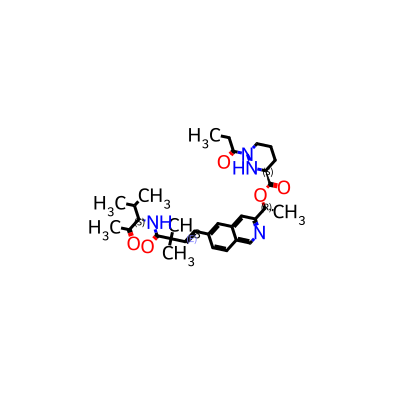 CCC(=O)N1CCC[C@@H](C(=O)O[C@H](C)c2cc3cc(/C=C/C(C)(C)C(=O)N[C@H](C(C)=O)C(C)C)ccc3cn2)N1